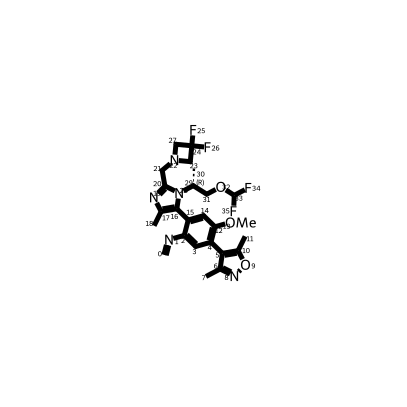 C=Nc1cc(-c2c(C)noc2C)c(OC)cc1-c1c(C)nc(CN2CC(F)(F)C2)n1[C@H](C)COC(F)F